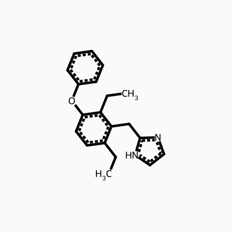 CCc1ccc(Oc2ccccc2)c(CC)c1Cc1ncc[nH]1